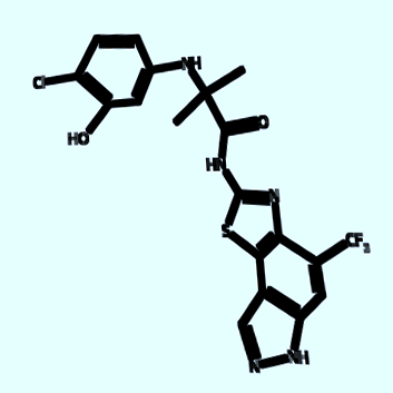 CC(C)(Nc1ccc(Cl)c(O)c1)C(=O)Nc1nc2c(C(F)(F)F)cc3[nH]ncc3c2s1